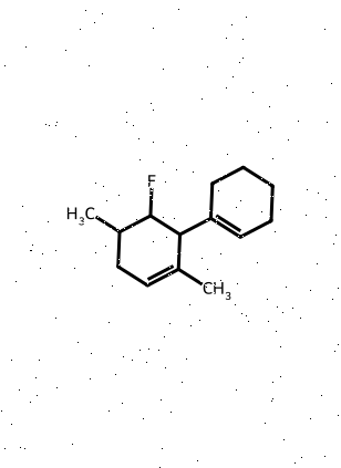 CC1=CCC(C)C(F)C1C1=CCCCC1